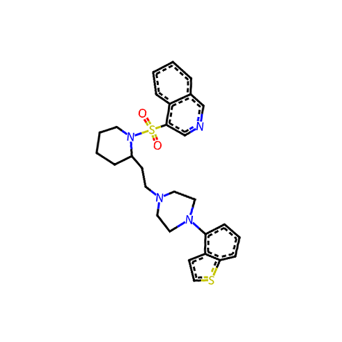 O=S(=O)(c1cncc2ccccc12)N1CCCCC1CCN1CCN(c2cccc3sccc23)CC1